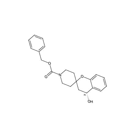 O=C(OCc1ccccc1)N1CCC2(CC1)C[C@@H](O)c1ccccc1O2